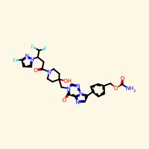 NC(=O)OCc1ccc(-c2cnc3c(=O)n(CC4(O)CCN(C(=O)CC(C(F)F)n5ccc(F)n5)CC4)cnn23)cc1